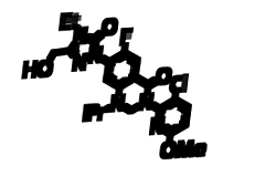 CCn1c(CO)nn(-c2cc3c(cc2F)C(=O)N(c2nc(OC)ccc2Cl)CN3C(C)C)c1=O